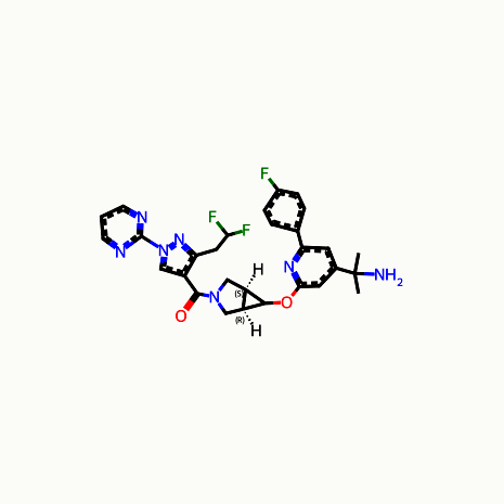 CC(C)(N)c1cc(OC2[C@H]3CN(C(=O)c4cn(-c5ncccn5)nc4CC(F)F)C[C@@H]23)nc(-c2ccc(F)cc2)c1